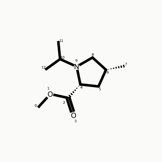 COC(=O)[C@H]1C[C@@H](C)CN1C(C)C